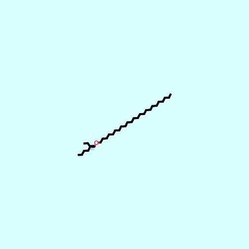 CCCCCCCCCCCCCCCCCCCCCCCCO/C=C(\CC)CCCC